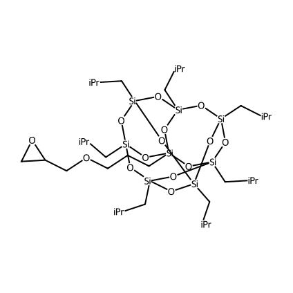 CC(C)C[Si]12O[Si]3(CCCOCC4CO4)O[Si]4(CC(C)C)O[Si](CC(C)C)(O1)O[Si]1(CC(C)C)O[Si](CC(C)C)(O2)O[Si](CC(C)C)(O3)O[Si](CC(C)C)(O4)O1